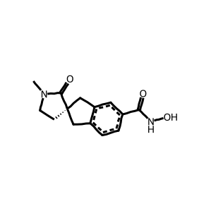 CN1CC[C@]2(Cc3ccc(C(=O)NO)cc3C2)C1=O